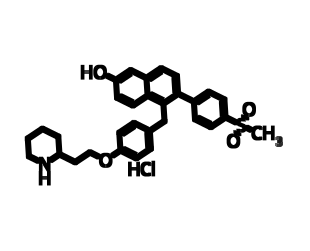 CS(=O)(=O)c1ccc(-c2ccc3cc(O)ccc3c2Cc2ccc(OCCC3CCCCN3)cc2)cc1.Cl